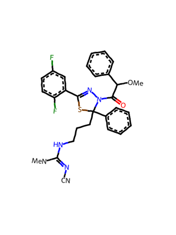 CNC(=NC#N)NCCCC1(c2ccccc2)SC(c2cc(F)ccc2F)=NN1C(=O)C(OC)c1ccccc1